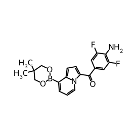 CC1(C)COB(c2cccn3c(C(=O)c4cc(F)c(N)c(F)c4)ccc23)OC1